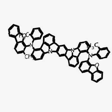 Cc1ccccc1N(c1cccc2c1oc1ccccc12)c1cccc2c1c1cccc3c4cc5c(cc4n2c31)c1cccc2c3c(N(c4ccccc4C)c4c(C)ccc6c4oc4ccccc46)cccc3n5c12